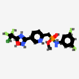 CCOP(=O)(Cc1ccc(-c2noc(C(F)(F)Cl)n2)cn1)Nc1cc(F)cc(F)c1